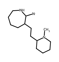 CN1CCCCC1CCC1CCCCNC1[N]